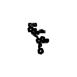 CC(C)(C)OC(=O)N(CCc1ccc(OCc2ccccc2)c2[nH]c(=O)ccc12)Cc1ccc(C=O)cc1